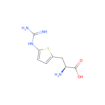 N=C(N)Nc1ccc(C[C@H](N)C(=O)O)s1